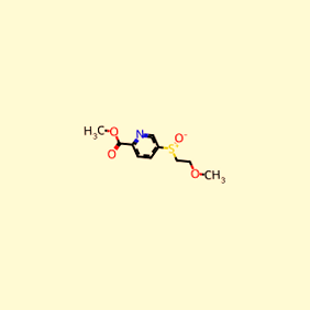 COCC[S+]([O-])c1ccc(C(=O)OC)nc1